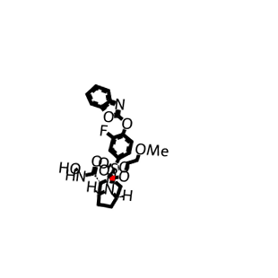 COCCOC(=O)N1[C@@H]2CC[C@H]1[C@H](C(=O)NO)N(S(=O)(=O)c1ccc(Oc3nc4ccccc4o3)c(F)c1)C2